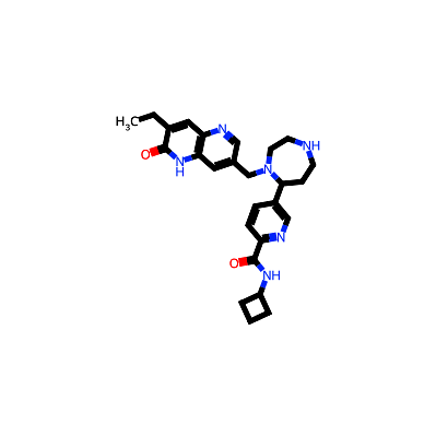 CCc1cc2ncc(CN3CCNCCC3c3ccc(C(=O)NC4CCC4)nc3)cc2[nH]c1=O